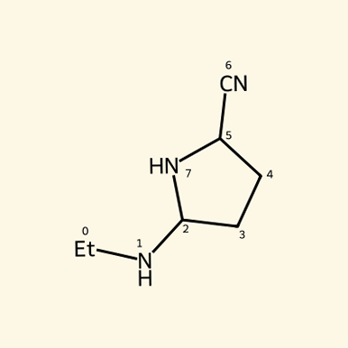 [CH2]CNC1CCC(C#N)N1